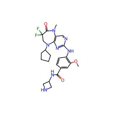 COc1cc(C(=O)NC2CNC2)ccc1Nc1ncc2c(n1)N(C1CCCC1)CC(F)(F)C(=O)N2C